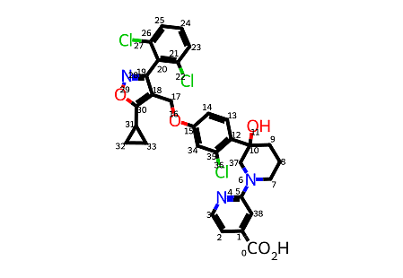 O=C(O)c1ccnc(N2CCCC(O)(c3ccc(OCc4c(-c5c(Cl)cccc5Cl)noc4C4CC4)cc3Cl)C2)c1